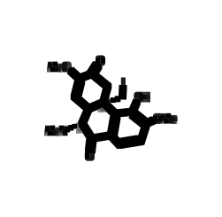 CN[C@H]1C(=O)c2ccc(OC)c(O)c2[C@]2(CI)CC(=O)C(OC)=CC12